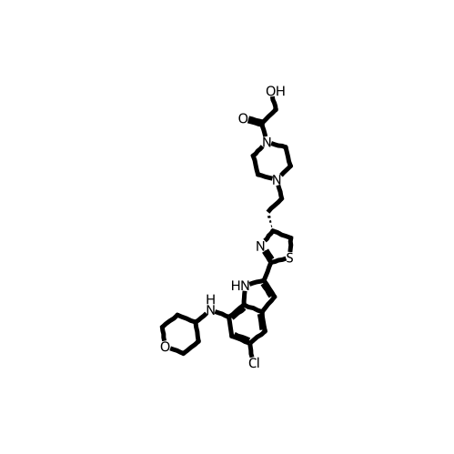 O=C(CO)N1CCN(CC[C@@H]2CSC(c3cc4cc(Cl)cc(NC5CCOCC5)c4[nH]3)=N2)CC1